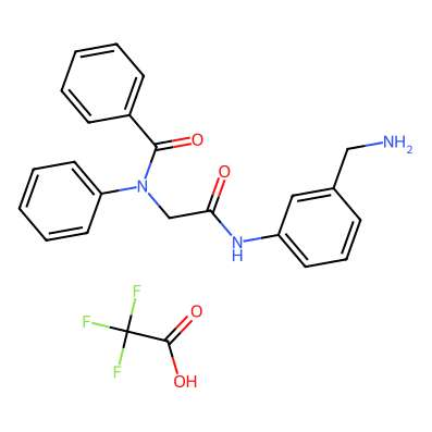 NCc1cccc(NC(=O)CN(C(=O)c2ccccc2)c2ccccc2)c1.O=C(O)C(F)(F)F